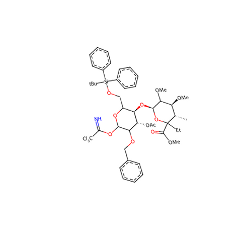 CCC1(C(=O)OC)O[C@@H](O[C@@H]2C(CO[Si](c3ccccc3)(c3ccccc3)C(C)(C)C)OC(OC(=N)C(Cl)(Cl)Cl)C(OCc3ccccc3)[C@H]2OC(C)=O)C(OC)[C@@H](OC)[C@@H]1C